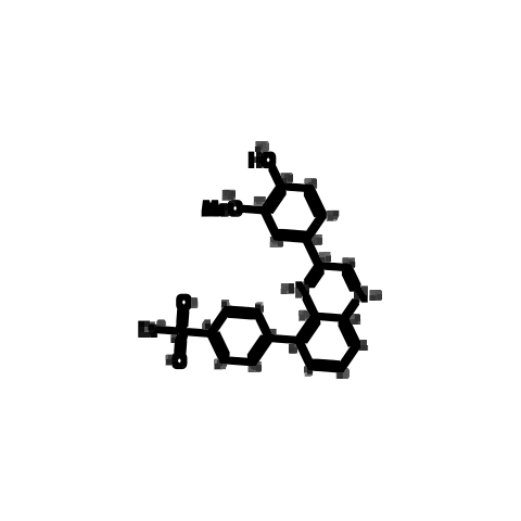 CCS(=O)(=O)c1ccc(-c2cccc3ncc(-c4ccc(O)c(OC)c4)nc23)cc1